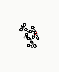 c1ccc(-c2nc3ccccc3n2-c2ccc(N(c3ccc(-n4c(-c5ccccc5)nc5ccccc54)cc3)c3ccc4[nH]c5ccc(N(c6ccc(-n7c(-c8ccccc8)nc8ccccc87)cc6)c6ccc(-n7c(-c8ccccc8)nc8ccccc87)cc6)cc5c4c3)cc2)cc1